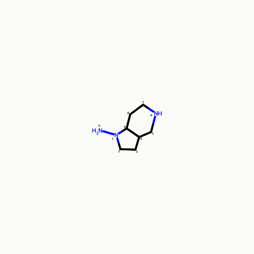 NN1CCC2CNCCC21